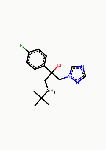 CC(C)(C)[SiH2]CC(O)(Cn1cncn1)c1ccc(F)cc1